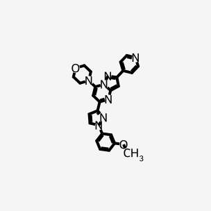 COc1cccc(-n2ccc(-c3cc(N4CCOCC4)n4nc(-c5ccncc5)cc4n3)n2)c1